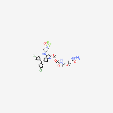 CCC(C)(CCC(=O)NN)O/C=C(\C)NC(=O)C(C)(C)OCC(C)(C)Oc1cc(NC2CCN([S+]([O-])C(F)(F)F)CC2)c2cc(C(c3ccc(Cl)cc3)c3ccc(Cl)cc3)ccc2n1